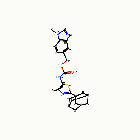 Cc1nc(C23CC4CC(CC(C4)C2)C3)sc1NC(=O)OCc1ccc2c(c1)ncn2C